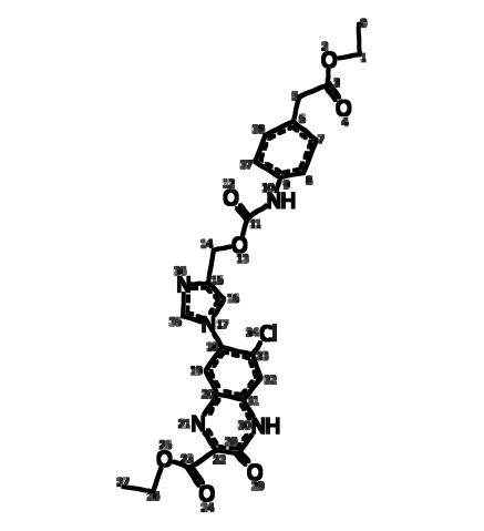 CCOC(=O)Cc1ccc(NC(=O)OCc2cn(-c3cc4nc(C(=O)OCC)c(=O)[nH]c4cc3Cl)cn2)cc1